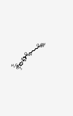 CN(C)C1CCN(c2ncc(C(=O)NCCCCCCC(=O)NO)cn2)C1